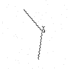 CCCCCCCCCCCCCCCCCCC1N(CCCCCCCCCCCCCCCCCC)C=CN1C(C)C